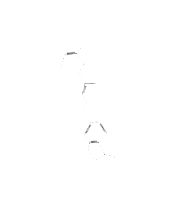 CC(C)=C(C)CC/C(C)=C/COc1ccc2c(c1)OCC2C